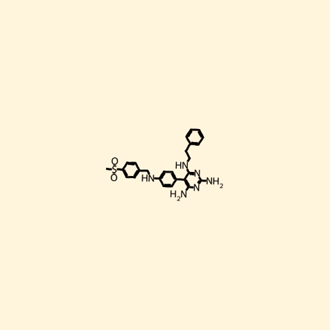 CS(=O)(=O)c1ccc(CNc2ccc(-c3c(N)nc(N)nc3NCCc3ccccc3)cc2)cc1